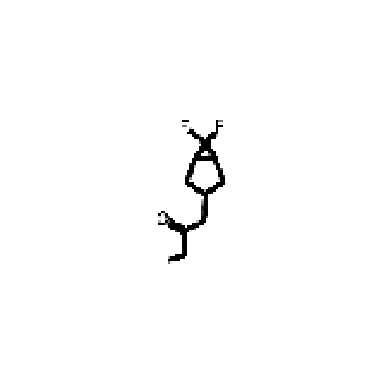 CCC(=O)CC1CC2C(C1)C2(F)F